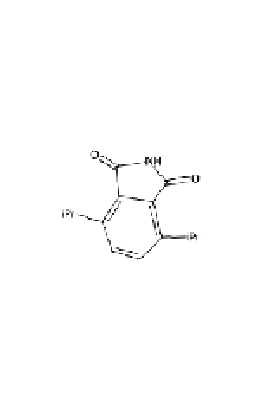 CC(C)c1ccc(C(C)C)c2c1C(=O)NC2=O